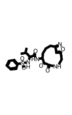 CC(C)C(NS(=O)(=O)c1ccccc1)C(=O)NC1CCCc2cc(on2)CCNC(=O)C1=O